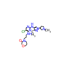 Cc1nn([C@@H]2CCN(C)C2)cc1Nc1ncc(Cl)c(NCCCN2CCCOCC2=O)n1